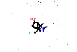 CNC1(C)C2CC(CC2O)C1(C)C.Cl